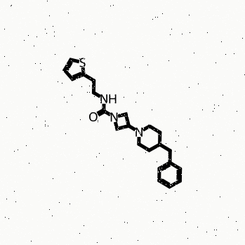 O=C(NCCc1cccs1)N1CC(N2CCC(Cc3ccccc3)CC2)C1